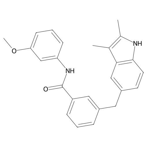 COc1cccc(NC(=O)c2cccc(Cc3ccc4[nH]c(C)c(C)c4c3)c2)c1